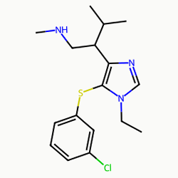 CCn1cnc(C(CNC)C(C)C)c1Sc1cccc(Cl)c1